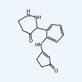 O=C1C=C(Nc2ccccc2C2NNCCC2=O)CC1